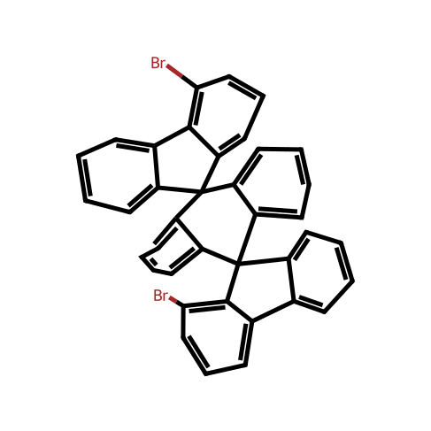 Brc1cccc2c1-c1ccccc1C21c2ccccc2C2(c3ccccc3-c3cccc(Br)c32)c2ccccc21